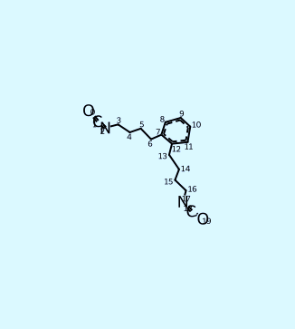 O=C=NCCCCc1ccccc1CCCCN=C=O